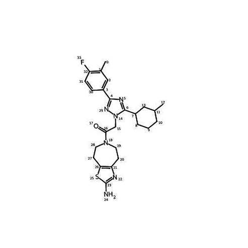 Cc1cc(-c2nc(C3CCCC(C)C3)n(CC(=O)N3CCc4nc(N)sc4CC3)n2)ccc1F